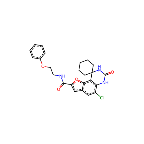 O=C1Nc2c(Cl)cc3cc(C(=O)NCCOc4ccccc4)oc3c2C2(CCCCC2)N1